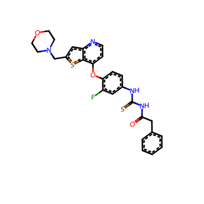 O=C(Cc1ccccc1)NC(=S)Nc1ccc(Oc2ccnc3cc(CN4CCOCC4)sc23)c(F)c1